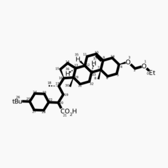 CCOCO[C@H]1CC[C@@]2(C)C(=CC[C@H]3[C@@H]4CC[C@H]([C@@H](C)CC(C(=O)O)C5CCC(C(C)(C)C)CC5)[C@@]4(C)CC[C@@H]32)C1